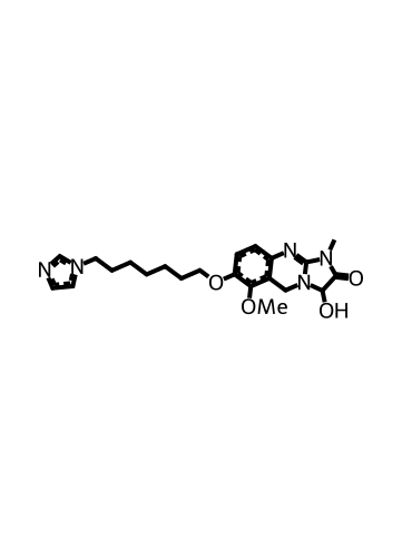 COc1c(OCCCCCCCn2ccnc2)ccc2c1CN1C(=N2)N(C)C(=O)C1O